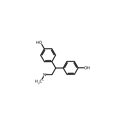 [CH2+][N-]CC(c1ccc(O)cc1)c1ccc(O)cc1